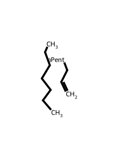 C=CCCCCCC.CCCCCCC